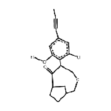 CC#Cc1cc(Cl)c(C2COCC3CCC(C3)C2=O)c(OCC)c1